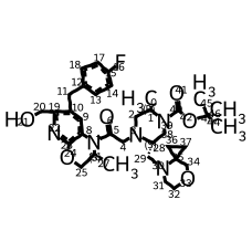 C[C@@H]1CN(CC(=O)N2c3cc(Cc4ccc(F)cc4)c(CO)nc3OC[C@@H]2C)[C@@H](CN2CCOCC23CC3)CN1C(=O)OC(C)(C)C